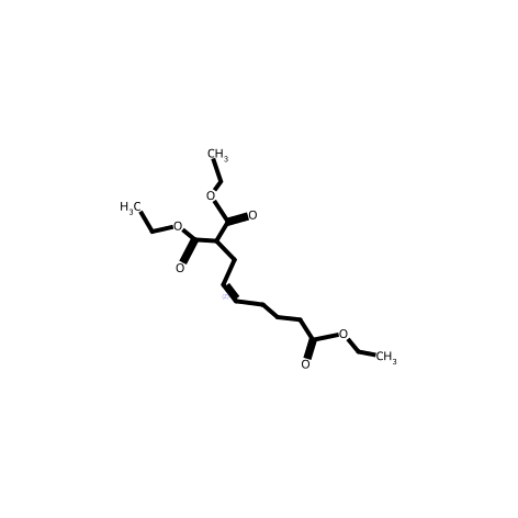 CCOC(=O)CCC/C=C\CC(C(=O)OCC)C(=O)OCC